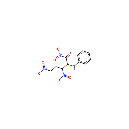 O=C(C(Nc1ccccc1)C(CC[N+](=O)[O-])[N+](=O)[O-])[N+](=O)[O-]